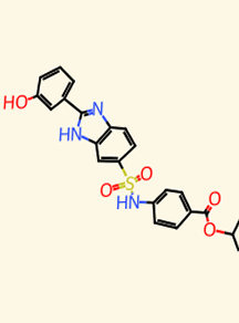 CC(C)OC(=O)c1ccc(NS(=O)(=O)c2ccc3nc(-c4cccc(O)c4)[nH]c3c2)cc1